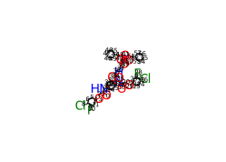 O=C(COc1ccc(Cl)c(F)c1)NC12CCC(NC(=O)COc3ccc(Cl)c(F)c3)(CC1)C(OC(=O)CCCOP(=O)(OCc1ccccc1)OCc1ccccc1)C2